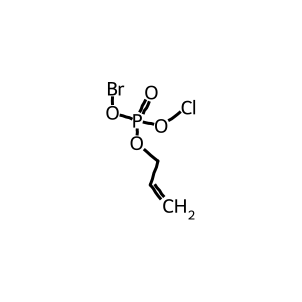 C=CCOP(=O)(OCl)OBr